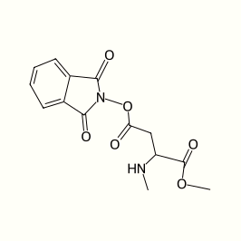 CNC(CC(=O)ON1C(=O)c2ccccc2C1=O)C(=O)OC